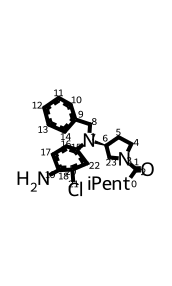 CCCC(C)C(=O)N1CC[C@H](N(Cc2ccccc2)c2ccc(N)c(Cl)c2)C1